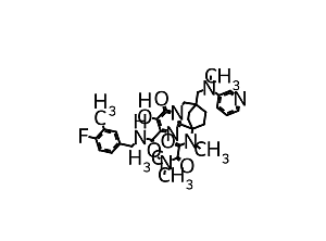 Cc1cc(CNC(=O)c2nc3n(c(=O)c2O)CC2(CN(C)c4cccnc4)CCC3(N(C)C(=O)C(=O)N(C)C)CC2)ccc1F